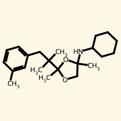 Cc1cccc(CC(C)(C)C2(C)OCC(C)(NC3CCCCC3)O2)c1